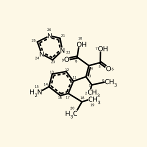 CC(C)C(=C(C(=O)O)C(=O)O)c1ccc(N)cc1C(C)C.c1ncncn1